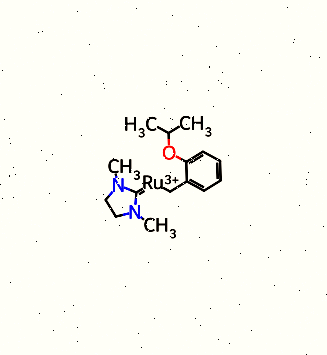 CC(C)Oc1ccccc1[CH2][Ru+3]=[C]1N(C)CCN1C